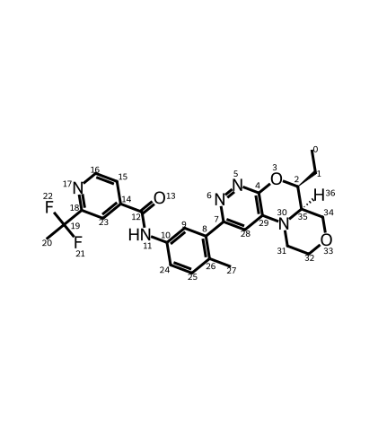 CC[C@@H]1Oc2nnc(-c3cc(NC(=O)c4ccnc(C(C)(F)F)c4)ccc3C)cc2N2CCOC[C@H]12